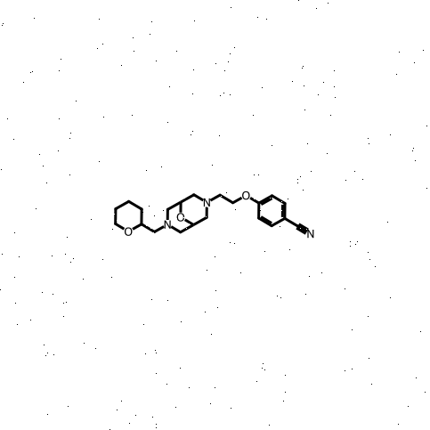 N#Cc1ccc(OCCN2CC3CN(CC4CCCCO4)CC(C2)O3)cc1